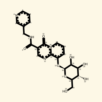 O=C(NCc1cccnc1)c1cnc2c(O[C@@H]3OC(CO)[C@@H](O)C(O)C3O)cccn2c1=O